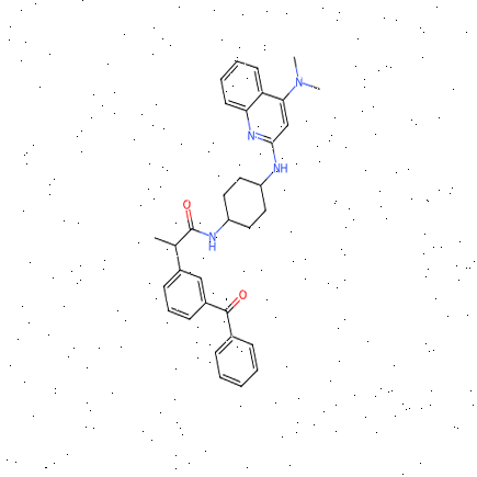 CC(C(=O)NC1CCC(Nc2cc(N(C)C)c3ccccc3n2)CC1)c1cccc(C(=O)c2ccccc2)c1